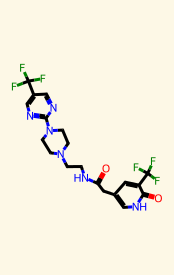 O=C(Cc1c[nH]c(=O)c(C(F)(F)F)c1)NCCN1CCN(c2ncc(C(F)(F)F)cn2)CC1